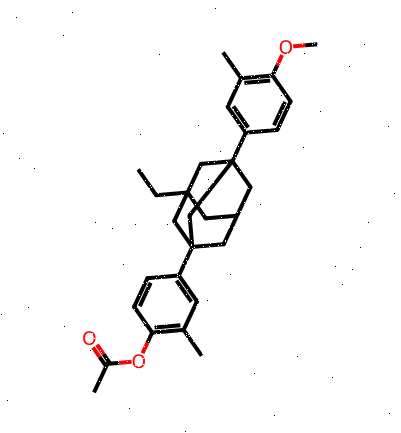 CCC12CC3CC(c4ccc(OC)c(C)c4)(C1)CC(c1ccc(OC(C)=O)c(C)c1)(C3)C2